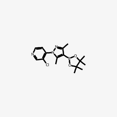 Cc1nn(-c2ccncc2Cl)c(C)c1B1OC(C)(C)C(C)(C)O1